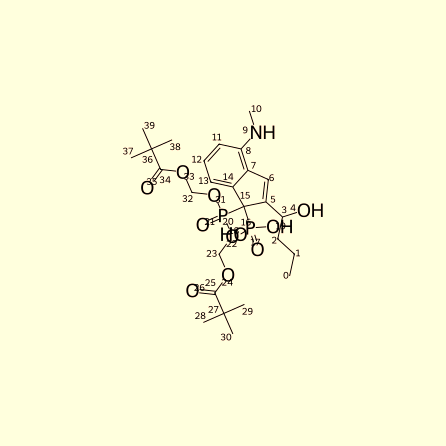 CCCC(O)C1=Cc2c(NC)cccc2C1(P(=O)(O)O)P(=O)(OCOC(=O)C(C)(C)C)OCOC(=O)C(C)(C)C